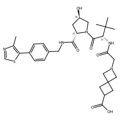 Cc1ncsc1-c1ccc(CNC(=O)[C@@H]2C[C@@H](O)CN2C(=O)[C@@H](NC(=O)CN2CC3(CC(C(=O)O)C3)C2)C(C)(C)C)cc1